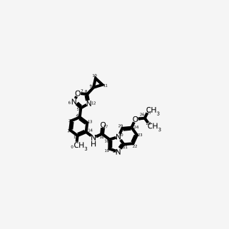 Cc1ccc(-c2noc(C3CC3)n2)cc1NC(=O)c1cnc2ccc(OC(C)C)cn12